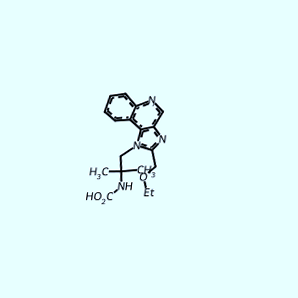 CCOCc1nc2cnc3ccccc3c2n1CC(C)(C)NC(=O)O